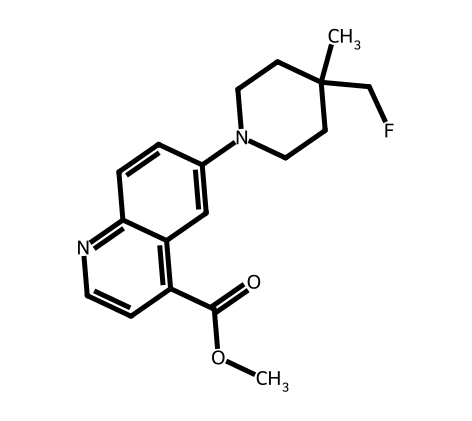 COC(=O)c1ccnc2ccc(N3CCC(C)(CF)CC3)cc12